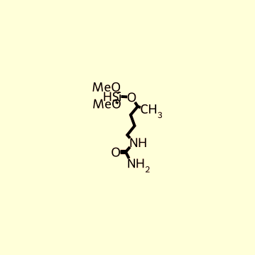 CO[SiH](OC)OC(C)CCCNC(N)=O